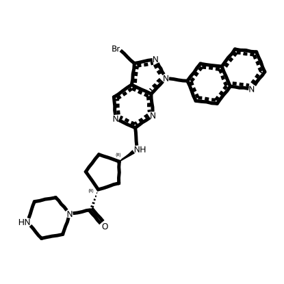 O=C([C@@H]1CC[C@@H](Nc2ncc3c(Br)nn(-c4ccc5ncccc5c4)c3n2)C1)N1CCNCC1